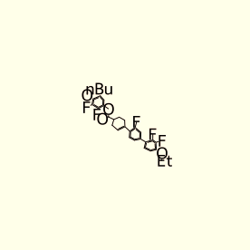 CCCCOc1ccc(OC(=O)C2CC=C(c3ccc(-c4ccc(OCC)c(F)c4F)cc3F)CC2)c(F)c1F